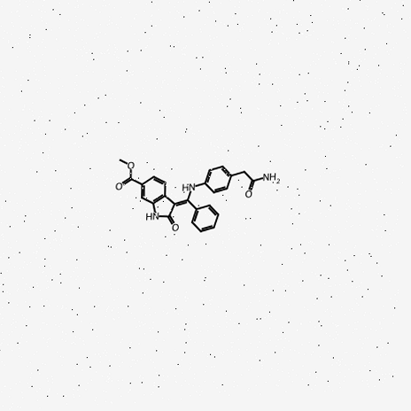 COC(=O)c1ccc2c(c1)NC(=O)/C2=C(/Nc1ccc(CC(N)=O)cc1)c1ccccc1